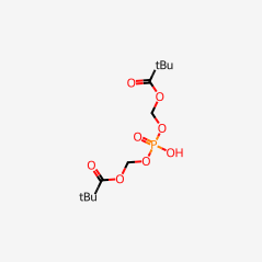 CC(C)(C)C(=O)OCOP(=O)(O)OCOC(=O)C(C)(C)C